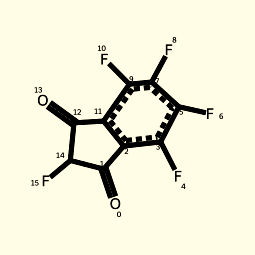 O=C1c2c(F)c(F)c(F)c(F)c2C(=O)C1F